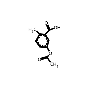 CC(=O)Oc1ccc(C)c(C(=O)O)c1